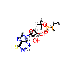 CCC(C)[PH](=O)OC(C)(C)C[C@H]1OC(n2cnc3c(S)ncnc32)[C@H](O)C1O